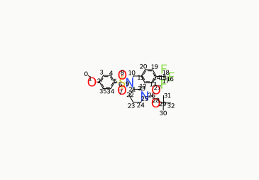 COc1ccc(S(=O)(=O)N(Cc2ccc(C(F)(F)F)cc2)C2CCCN(C(=O)OC(C)(C)C)C2)cc1